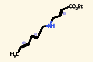 C/C=C/C=C/CNC/C=C/C(=O)OCC